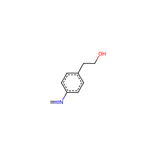 C=Nc1ccc(CCO)cc1